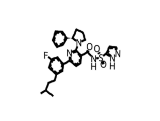 CC(C)CCc1cc(F)cc(-c2ccc(C(=O)NS(=O)(=O)c3ccn[nH]3)c(N3CCC[C@H]3c3ccccc3)n2)c1